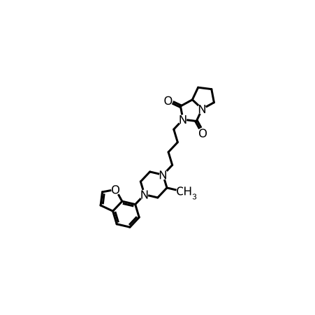 CC1CN(c2cccc3ccoc23)CCN1CCCCN1C(=O)C2CCCN2C1=O